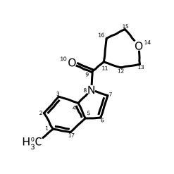 Cc1ccc2c(ccn2C(=O)C2CCOCC2)c1